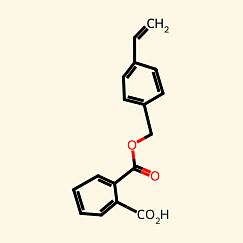 C=Cc1ccc(COC(=O)c2ccccc2C(=O)O)cc1